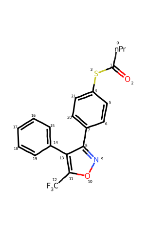 CCCC(=O)Sc1ccc(-c2noc(C(F)(F)F)c2-c2ccccc2)cc1